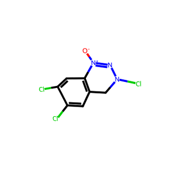 [O-][N+]1=NN(Cl)Cc2cc(Cl)c(Cl)cc21